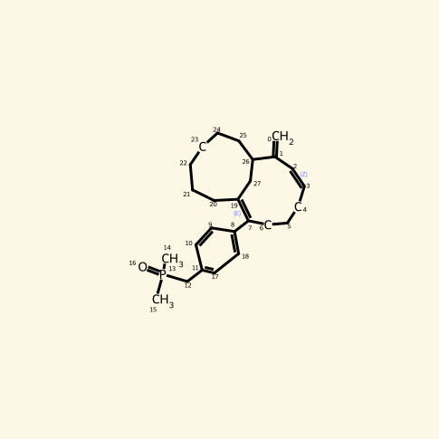 C=C1/C=C\CCC/C(c2ccc(CP(C)(C)=O)cc2)=C2/CCCCCCC1C2